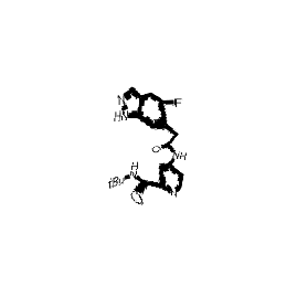 CC(C)(C)NC(=O)c1cc(NC(=O)Cc2cc3[nH]ncc3cc2F)ccn1